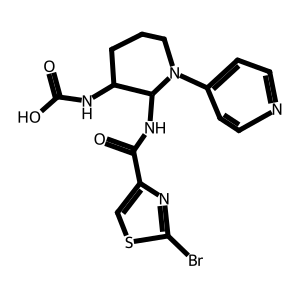 O=C(O)NC1CCCN(c2ccncc2)C1NC(=O)c1csc(Br)n1